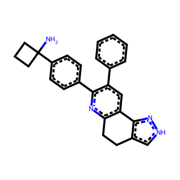 NC1(c2ccc(-c3nc4c(cc3-c3ccccc3)-c3n[nH]cc3CC4)cc2)CCC1